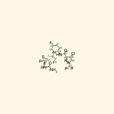 N=C(N)O[C@@H](CC(CF)N1CC(F)=CC=C1NC(=O)c1nn(C(F)F)cc1Cl)C(F)(F)F